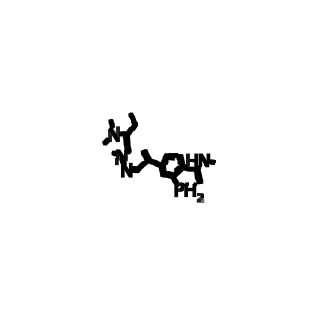 C=C(/C=N\N(C)/C=C(/CC)N(C)C)c1ccc(C(=C)NC)c(P)c1